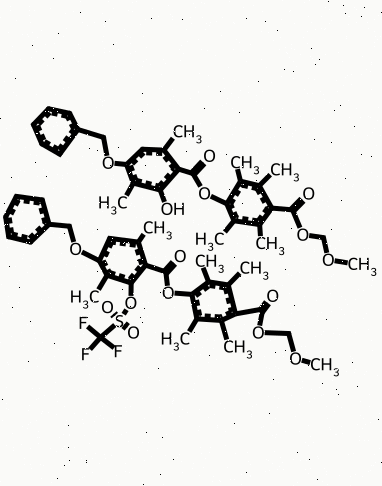 COCOC(=O)c1c(C)c(C)c(OC(=O)c2c(C)cc(OCc3ccccc3)c(C)c2O)c(C)c1C.COCOC(=O)c1c(C)c(C)c(OC(=O)c2c(C)cc(OCc3ccccc3)c(C)c2OS(=O)(=O)C(F)(F)F)c(C)c1C